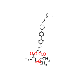 C=C(CCO)C(=O)OCC(CCc1ccc(-c2ccc(C3CCC(CCCCC)CC3)cc2)cc1)COC(=O)C(=C)COC